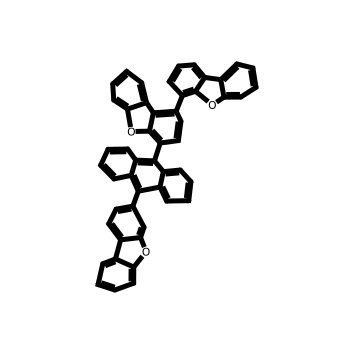 c1ccc2c(c1)oc1cc(-c3c4ccccc4c(-c4ccc(-c5cccc6c5oc5ccccc56)c5c4oc4ccccc45)c4ccccc34)ccc12